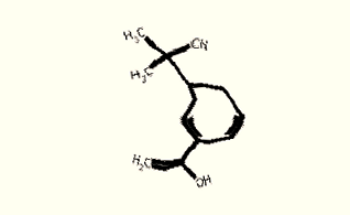 C=C(O)C1=CC(C(C)(C)C#N)CC=C1